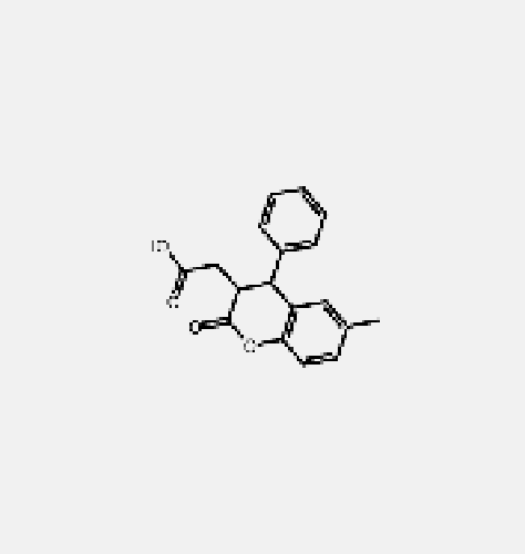 Cc1ccc2c(c1)C(c1ccccc1)C(CC(=O)O)C(=O)O2